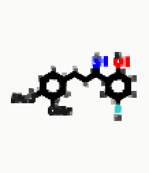 COc1ccc(CCC(=N)c2cc(F)ccc2O)cc1OC